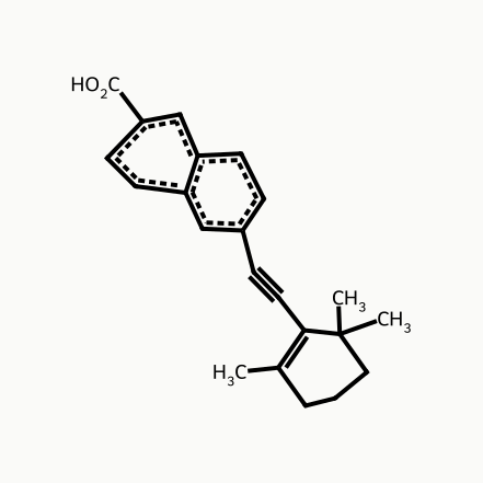 CC1=C(C#Cc2ccc3cc(C(=O)O)ccc3c2)C(C)(C)CCC1